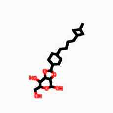 CC1CC(CCCCC2CCC(C3OC4C(O)OC(CO)C(O)C4O3)CC2)C1